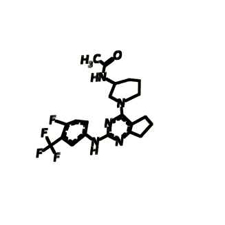 CC(=O)NC1CCCN(c2nc(Nc3ccc(F)c(C(F)(F)F)c3)nc3c2CCC3)C1